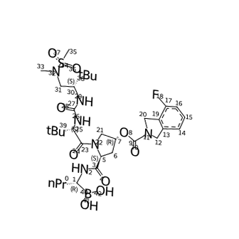 CCC[C@H](NC(=O)[C@@H]1C[C@@H](OC(=O)N2Cc3cccc(F)c3C2)CN1C(=O)[C@@H](NC(=O)N[C@H](CN(C)S(C)(=O)=O)C(C)(C)C)C(C)(C)C)B(O)O